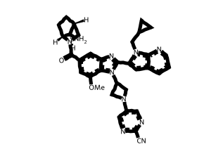 COc1cc(C(=O)N2C[C@H]3CC[C@@H]2[C@@H]3N)cc2nc(-c3cc4cccnc4n3CC3CC3)n(C3CN(c4cnc(C#N)nc4)C3)c12